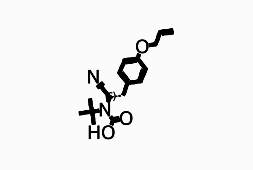 C=CCOc1ccc(C[C@@H](C#N)N(C(=O)O)C(C)(C)C)cc1